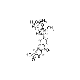 C[C@H](CC(=N)C1CCN(C(=O)c2ccc(C(=O)O)cc2)CC1)C(=O)OC(C)(C)C